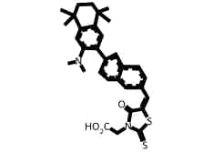 CN(C)c1cc2c(cc1-c1ccc3cc(C=C4SC(=S)N(CC(=O)O)C4=O)ccc3c1)C(C)(C)CCC2(C)C